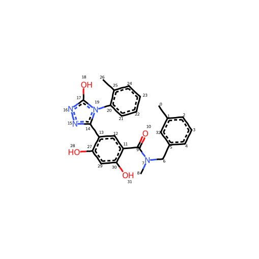 Cc1cccc(CN(C)C(=O)c2cc(-c3nnc(O)n3-c3ccccc3C)c(O)cc2O)c1